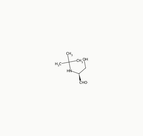 CC(C)(C)N[C@H]([C]=O)CO